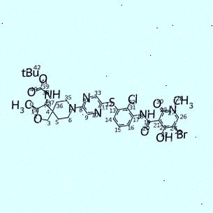 C[C@@H]1OCC2(CCN(c3cnc(Sc4cccc(NC(=O)c5c(O)c(Br)cn(C)c5=O)c4Cl)cn3)CC2)[C@@H]1NC(=O)OC(C)(C)C